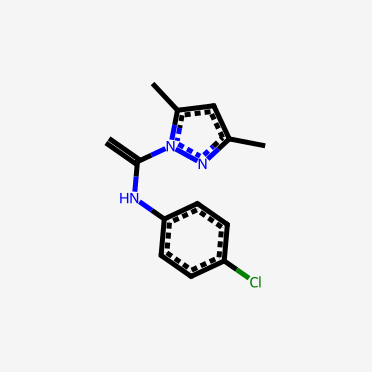 C=C(Nc1ccc(Cl)cc1)n1nc(C)cc1C